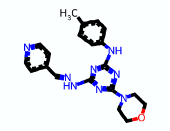 Cc1ccc(Nc2nc(N/N=C/c3ccncc3)nc(N3CCOCC3)n2)cc1